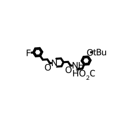 CC(C)(C)Oc1ccc(C[C@H](NC(=O)CC2CCN(C(=O)CCc3cccc(F)c3)CC2)C(=O)O)cc1